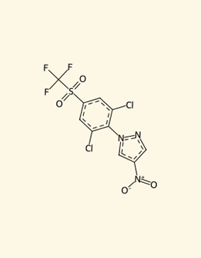 O=[N+]([O-])c1cnn(-c2c(Cl)cc(S(=O)(=O)C(F)(F)F)cc2Cl)c1